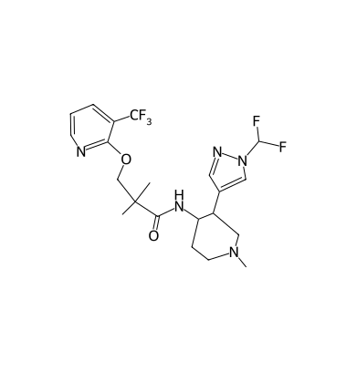 CN1CCC(NC(=O)C(C)(C)COc2ncccc2C(F)(F)F)C(c2cnn(C(F)F)c2)C1